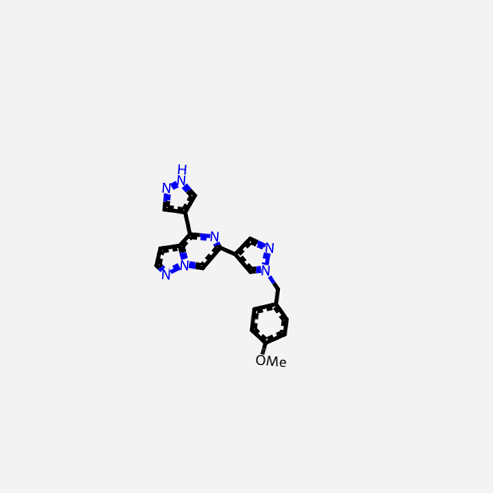 COc1ccc(Cn2cc(-c3cn4nccc4c(-c4cn[nH]c4)n3)cn2)cc1